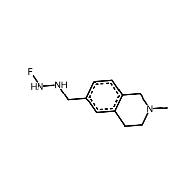 CN1CCc2cc(CNNF)ccc2C1